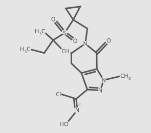 CCC(C)(C)S(=O)(=O)C1(CN2CCc3c(/C(Cl)=N/O)nn(C)c3C2=O)CC1